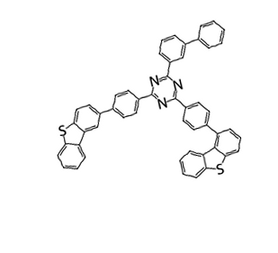 c1ccc(-c2cccc(-c3nc(-c4ccc(-c5ccc6sc7ccccc7c6c5)cc4)nc(-c4ccc(-c5cccc6sc7ccccc7c56)cc4)n3)c2)cc1